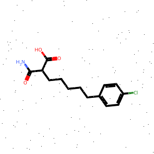 NC(=O)C(CCCCCc1ccc(Cl)cc1)C(=O)O